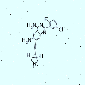 CN1C[C@@H]2C(C#Cc3cc4nc(-c5cc(Cl)ccc5F)nc(N)c4cc3N)[C@@H]2C1